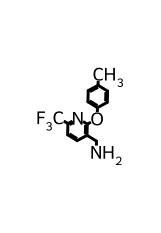 Cc1ccc(Oc2nc(C(F)(F)F)ccc2CN)cc1